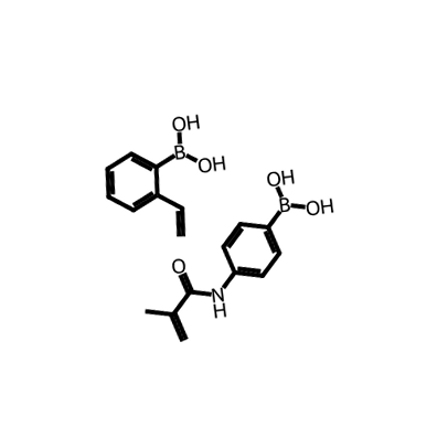 C=C(C)C(=O)Nc1ccc(B(O)O)cc1.C=Cc1ccccc1B(O)O